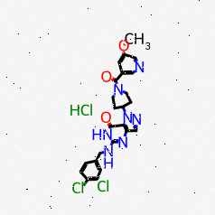 COc1cncc(C(=O)N2CCC(n3ncc4nc(NCc5ccc(Cl)c(Cl)c5)[nH]c(=O)c43)CC2)c1.Cl